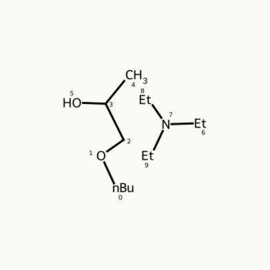 CCCCOCC(C)O.CCN(CC)CC